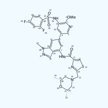 COc1ncc(-c2cc(NC(=O)c3csc(CN4C[C@@H](C)O[C@@H](C)C4)n3)c3cnn(C)c3c2)cc1NS(=O)(=O)c1ccc(F)cc1F